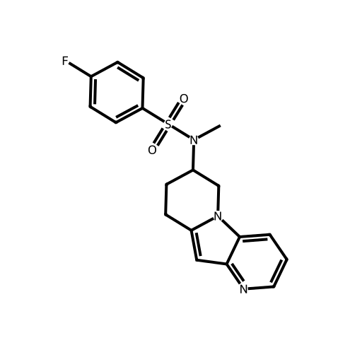 CN(C1CCc2cc3ncccc3n2C1)S(=O)(=O)c1ccc(F)cc1